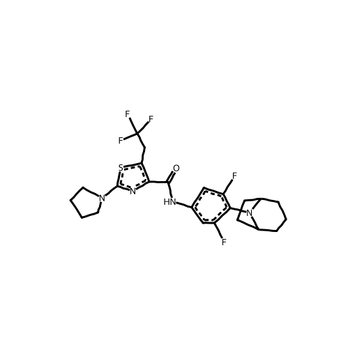 O=C(Nc1cc(F)c(N2C3CCCC2CC3)c(F)c1)c1nc(N2CCCC2)sc1CC(F)(F)F